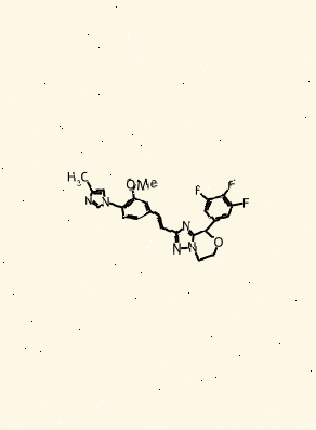 COc1cc(C=Cc2nc3n(n2)CCOC3c2cc(F)c(F)c(F)c2)ccc1-n1cnc(C)c1